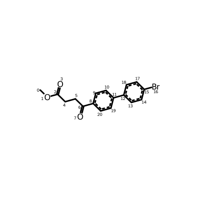 COC(=O)CCC(=O)c1ccc(-c2ccc(Br)cc2)cc1